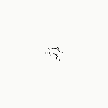 CCCOCC.CS(=O)(=O)O